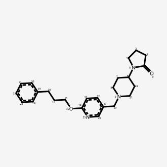 O=C1CCCN1C1CCN(Cc2ccc(OCCCc3ccccc3)nc2)CC1